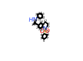 O=S(=O)(c1ccccc1)N1CCCc2cc(C3CC3Nc3ccccc3)ccc21